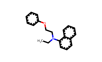 CCN(CCOc1ccccc1)c1cccc2ccccc12